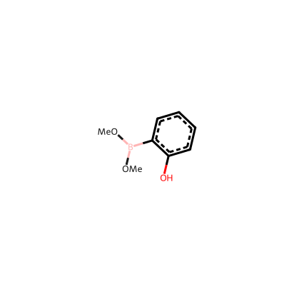 COB(OC)c1ccccc1O